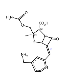 C[C@@]1(COC(N)=O)SC2/C(=C\c3cc(CN)ccn3)C(=O)N2[C@H]1C(=O)O